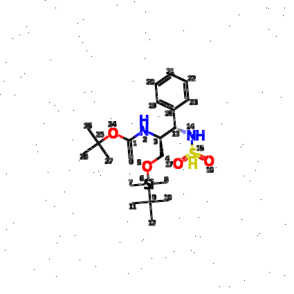 C=C(N[C@H](CO[Si](C)(C)C(C)(C)C)[C@@H](N[SH](=O)=O)c1ccccc1)OC(C)(C)C